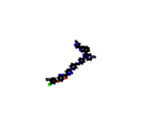 CC(=O)N1CCc2c(c(-c3cccc4cc(-c5cnn(C)c5)ncc34)nn2C2CCN(CCC3CCN(c4ccc(C(=O)NC5CCC(Oc6ccc(C#N)c(Cl)c6)CC5)nn4)CC3)CC2)C1